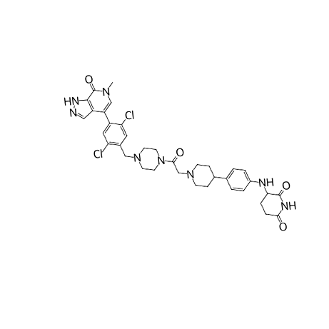 Cn1cc(-c2cc(Cl)c(CN3CCN(C(=O)CN4CCC(c5ccc(NC6CCC(=O)NC6=O)cc5)CC4)CC3)cc2Cl)c2cn[nH]c2c1=O